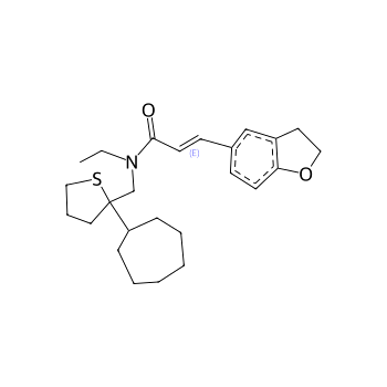 CCN(CC1(C2CCCCCC2)CCCS1)C(=O)/C=C/c1ccc2c(c1)CCO2